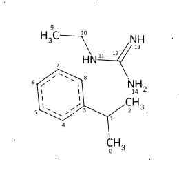 CC(C)c1ccccc1.CCNC(=N)N